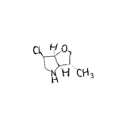 C[C@H]1CO[C@H]2[C@@H]1NC[C@H]2Cl